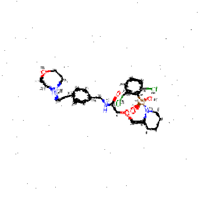 O=C(COCC1CCCCN1S(=O)(=O)c1c(Cl)cccc1Cl)NCc1ccc(CN2CCOCC2)cc1